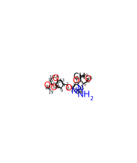 COC1(c2cc(OCc3ccc4c(c3)OCCC43OCCO3)nc(N)n2)CCOCC1